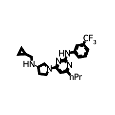 CCCc1cc(N2CC[C@H](NCC3CC3)C2)nc(Nc2cccc(C(F)(F)F)c2)n1